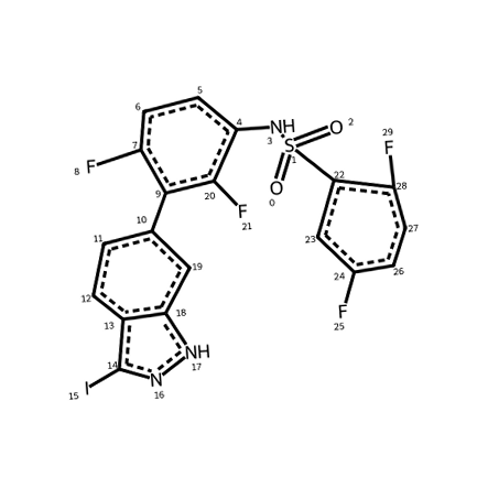 O=S(=O)(Nc1ccc(F)c(-c2ccc3c(I)n[nH]c3c2)c1F)c1cc(F)ccc1F